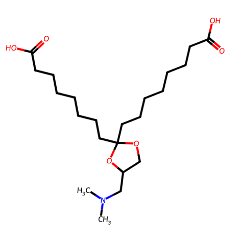 CN(C)CC1COC(CCCCCCCC(=O)O)(CCCCCCCC(=O)O)O1